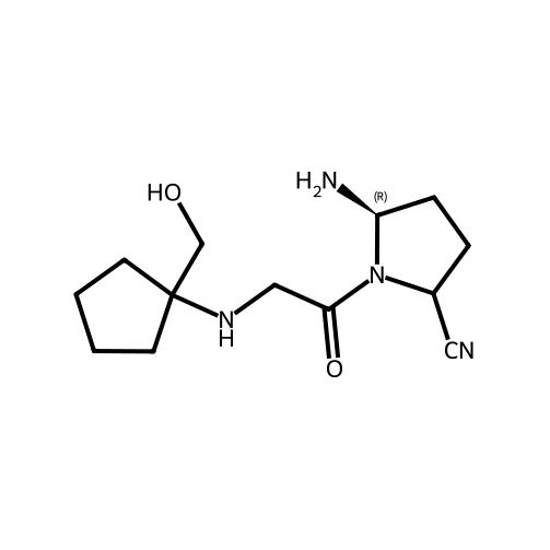 N#CC1CC[C@H](N)N1C(=O)CNC1(CO)CCCC1